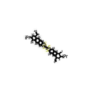 C=CC1CC(C(C)C)C(C)c2cc3cc4c(cc3cc21)S/C(=C1/Sc2cc3cc5c(cc3cc2S1)C(C)C(C(C)C)CC5C=C)S4